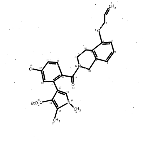 C=CCOc1cccc2c1CCN(C(=O)c1ccc(Cl)cc1-c1cn(C)c(C)c1C(=O)OCC)C2